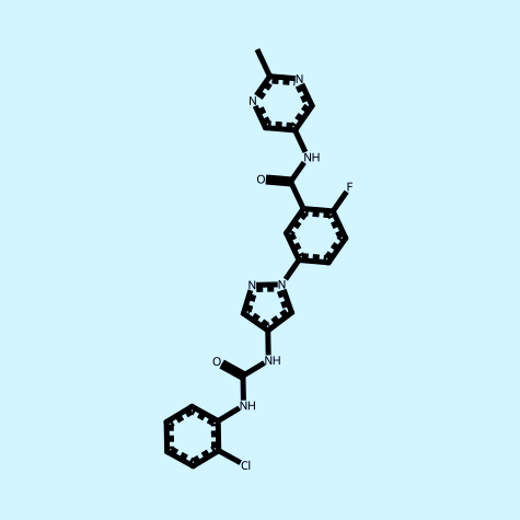 Cc1ncc(NC(=O)c2cc(-n3cc(NC(=O)Nc4ccccc4Cl)cn3)ccc2F)cn1